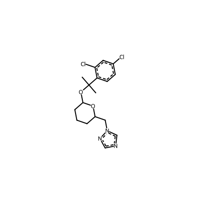 CC(C)(OC1CCCC(Cn2cncn2)O1)c1ccc(Cl)cc1Cl